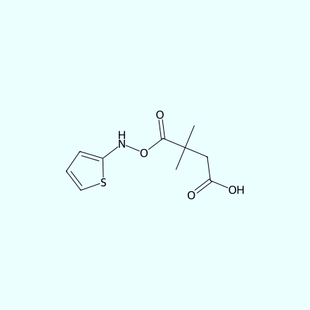 CC(C)(CC(=O)O)C(=O)ONc1cccs1